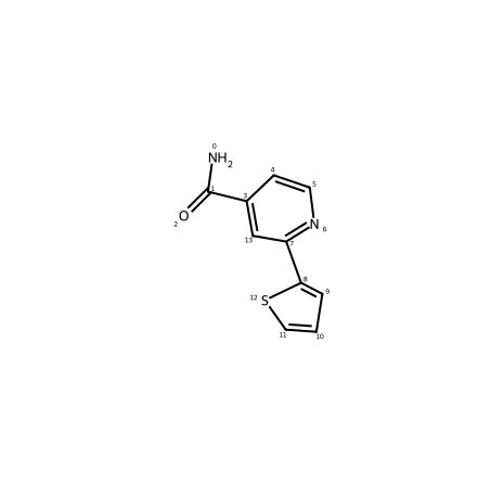 NC(=O)c1ccnc(-c2cccs2)c1